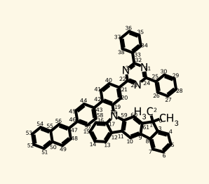 CC1(C)c2ccccc2-c2cc3c4ccccc4n(-c4cc(-c5nc(-c6ccccc6)nc(-c6ccccc6)n5)ccc4-c4ccc(-c5ccc6ccccc6c5)cc4)c3cc21